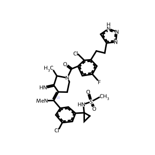 CN/C(=C1/CCN(C(=O)c2cc(F)cc(CCc3c[nH]nn3)c2Cl)C(C)C1=N)c1cc(Cl)cc(C2(NS(C)(=O)=O)CC2)c1